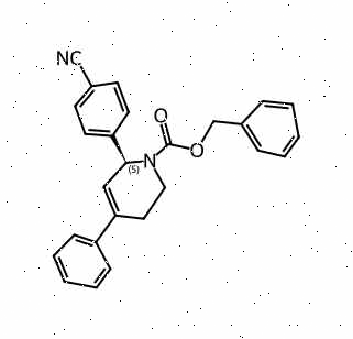 N#Cc1ccc([C@@H]2C=C(c3ccccc3)CCN2C(=O)OCc2ccccc2)cc1